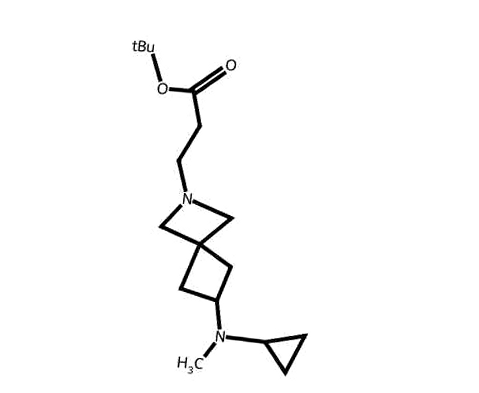 CN(C1CC1)C1CC2(C1)CN(CCC(=O)OC(C)(C)C)C2